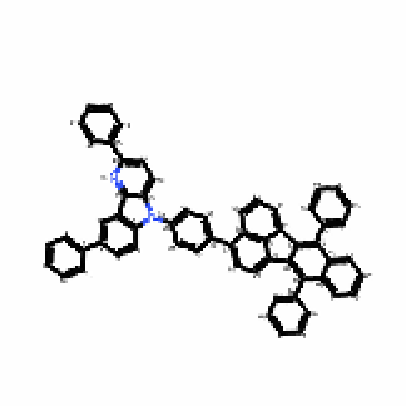 c1ccc(-c2ccc3c(c2)c2nc(-c4ccccc4)ccc2n3-c2ccc(-c3ccc4c5c(cccc35)-c3c-4c(-c4ccccc4)c4ccccc4c3-c3ccccc3)cc2)cc1